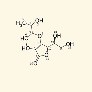 CC(O)C(O)OC1=C(O)C(=O)O[C@@H]1[C@@H](O)CO